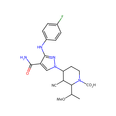 COC(C)C1C(C#N)C(n2cc(C(N)=O)c(Nc3ccc(F)cc3)n2)CCN1C(=O)O